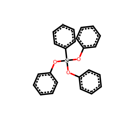 [c]1ccc([Si](Oc2ccccc2)(Oc2ccccc2)Oc2ccccc2)cc1